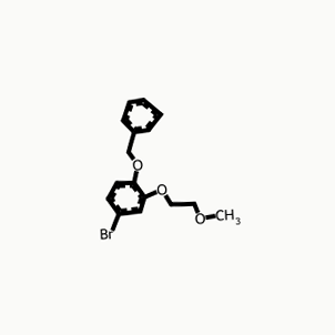 COCCOc1cc(Br)ccc1OCc1ccccc1